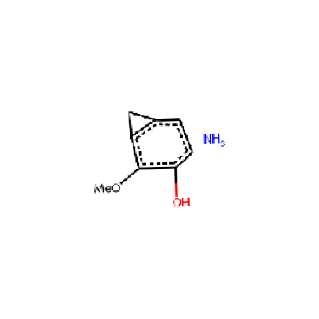 COc1c(O)ccc2c1C2.N